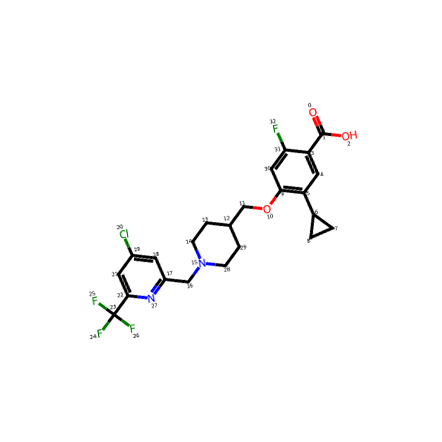 O=C(O)c1cc(C2CC2)c(OCC2CCN(Cc3cc(Cl)cc(C(F)(F)F)n3)CC2)cc1F